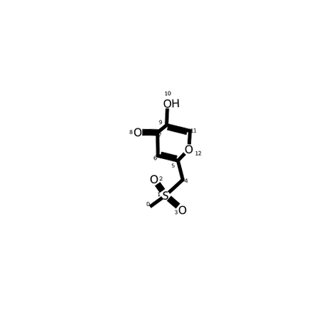 CS(=O)(=O)Cc1cc(=O)c(O)co1